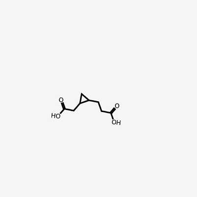 O=C(O)CCC1CC1CC(=O)O